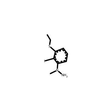 CCSc1cccc(N(C)N)c1I